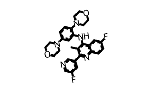 Cc1c(-c2cncc(F)c2)nc2ccc(F)cc2c1Nc1cc(N2CCOCC2)ccc1N1CCOCC1